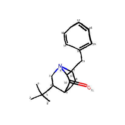 CC(C)(C)C1CN2CCC1C(=O)C2Cc1ccccc1